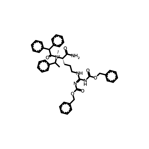 CC(c1ccccc1)[N@@+](C)(C(=O)C(c1ccccc1)c1ccccc1)[C@@H](CCCNC(=NC(=O)OCc1ccccc1)NC(=O)OCc1ccccc1)C(N)=O